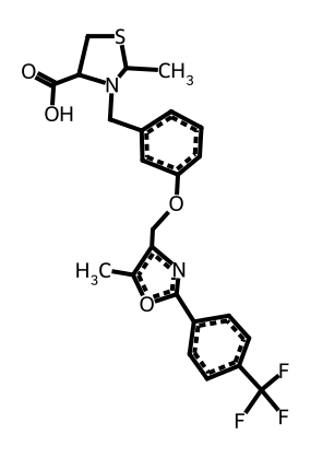 Cc1oc(-c2ccc(C(F)(F)F)cc2)nc1COc1cccc(CN2C(C)SCC2C(=O)O)c1